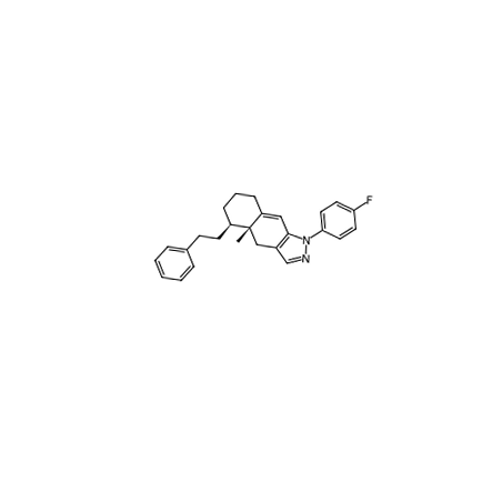 C[C@]12Cc3cnn(-c4ccc(F)cc4)c3C=C1CCC[C@@H]2CCc1ccccc1